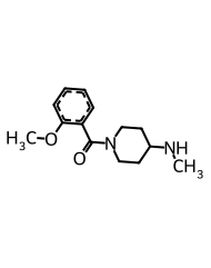 CNC1CCN(C(=O)c2ccccc2OC)CC1